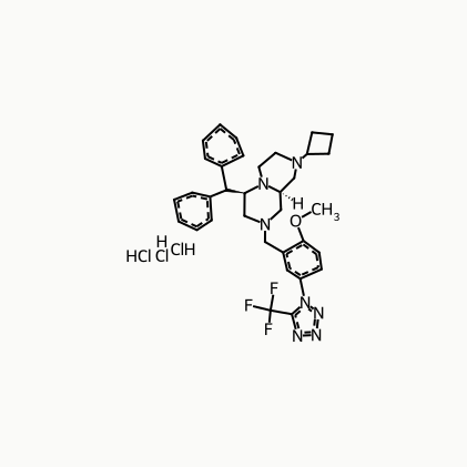 COc1ccc(-n2nnnc2C(F)(F)F)cc1CN1C[C@@H]2CN(C3CCC3)CCN2[C@H](C(c2ccccc2)c2ccccc2)C1.Cl.Cl.Cl